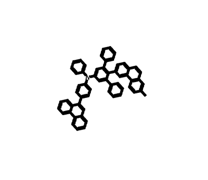 Cc1ccc2c(ccc3ccc(-c4c(-c5ccccc5)cc(N(c5ccccc5)c5ccc(-c6cc7ccccc7c7ccccc67)cc5)cc4-c4ccccc4)cc32)c1